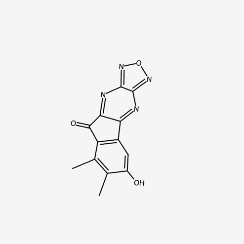 Cc1c(O)cc2c(c1C)C(=O)c1nc3nonc3nc1-2